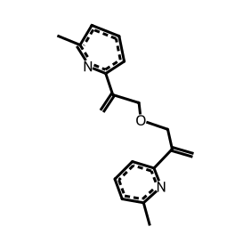 C=C(COCC(=C)c1cccc(C)n1)c1cccc(C)n1